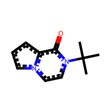 CC(C)(C)n1ccn2cccc2c1=O